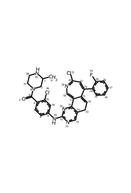 CC1CN(C(=O)c2ccc(Nc3ncc4c(n3)C3=CN=C(Cl)C=C(c5ccccc5F)C3=CC4)cc2Cl)CCN1